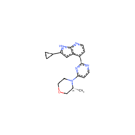 C[C@@H]1COCCN1c1ccnc(-c2ccnc3[nH]c(C4CC4)cc23)n1